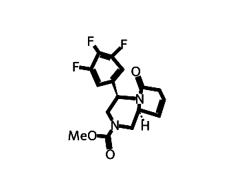 COC(=O)N1C[C@@H]2C=CCC(=O)N2[C@H](c2cc(F)c(F)c(F)c2)C1